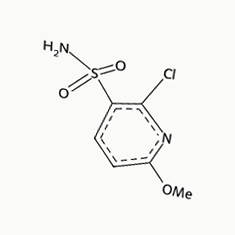 COc1ccc(S(N)(=O)=O)c(Cl)n1